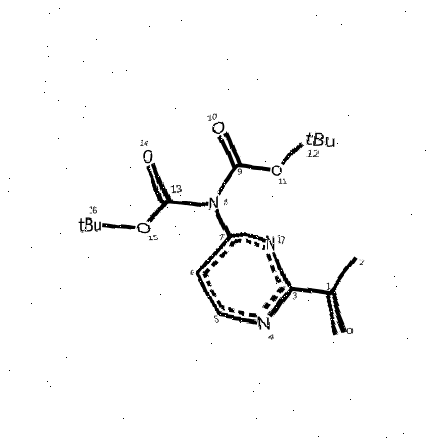 C=C(C)c1nccc(N(C(=O)OC(C)(C)C)C(=O)OC(C)(C)C)n1